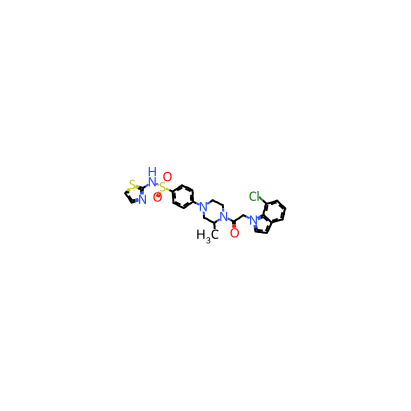 CC1CN(c2ccc(S(=O)(=O)Nc3nccs3)cc2)CCN1C(=O)Cn1ccc2cccc(Cl)c21